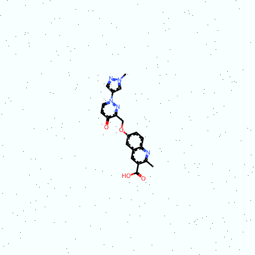 Cc1nc2ccc(OCc3nn(-c4cnn(C)c4)ccc3=O)cc2cc1C(=O)O